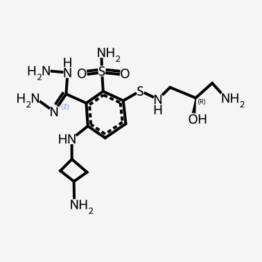 NC[C@@H](O)CNSc1ccc(NC2CC(N)C2)c(/C(=N/N)NN)c1S(N)(=O)=O